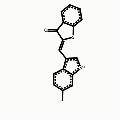 Cc1ccc2c(C=C3Sc4ccccc4C3=O)c[nH]c2c1